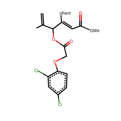 C=C(C)C(OC(=O)COc1ccc(Cl)cc1Cl)C(=CC(=O)OC)CCCCC